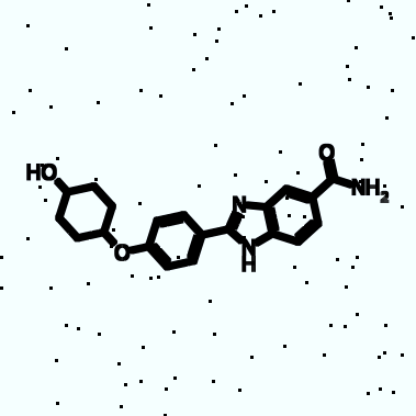 NC(=O)c1ccc2[nH]c(-c3ccc(OC4CCC(O)CC4)cc3)nc2c1